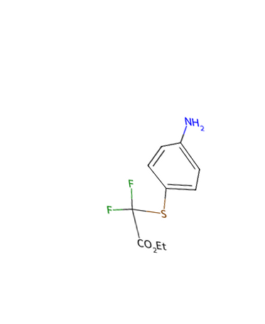 CCOC(=O)C(F)(F)Sc1ccc(N)cc1